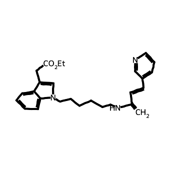 C=C(/C=C/c1cccnc1)NCCCCCCn1cc(CC(=O)OCC)c2ccccc21